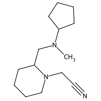 CN(CC1CCCCN1CC#N)C1CCCC1